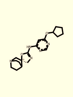 c1nc(NC2=NC[C@]3(CN4CCC3CC4)O2)cc(OC2CCCC2)n1